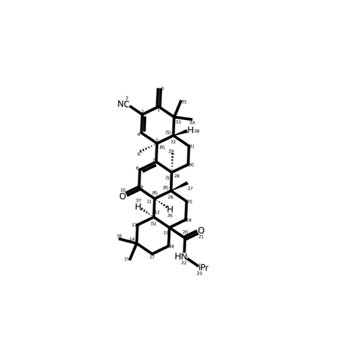 C=C1C(C#N)=C[C@]2(C)C3=CC(=O)[C@@H]4[C@@H]5CC(C)(C)CCC5(C(=O)NC(C)C)CC[C@@]4(C)[C@]3(C)CC[C@H]2C1(C)C